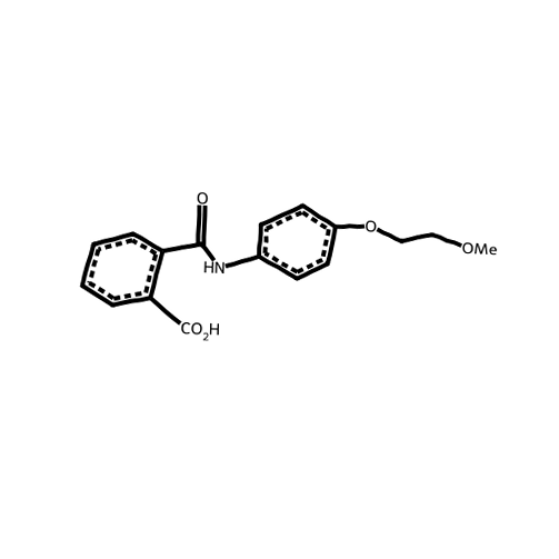 COCCOc1ccc(NC(=O)c2ccccc2C(=O)O)cc1